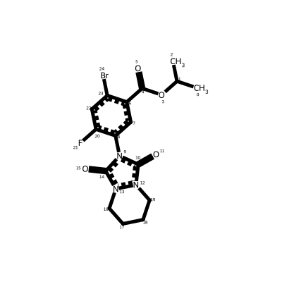 CC(C)OC(=O)c1cc(-n2c(=O)n3n(c2=O)CCCC3)c(F)cc1Br